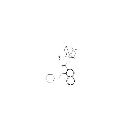 O=C(N[C@H](C(=O)O)C12C[C@@H]3C[C@@H](CC(O)(C3)C1)C2)c1ccc2ccccc2c1OCC1CCCCC1